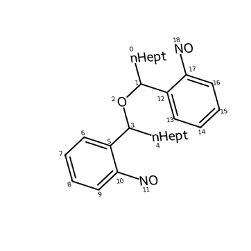 CCCCCCCC(OC(CCCCCCC)c1ccccc1N=O)c1ccccc1N=O